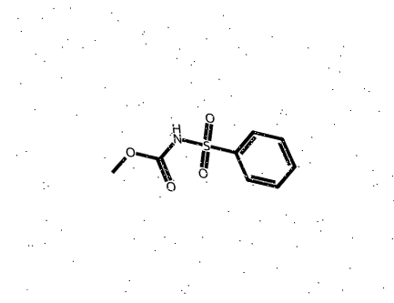 COC(=O)NS(=O)(=O)c1cc[c]cc1